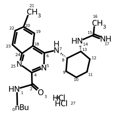 CCCCNC(=O)c1nc(N[C@H]2CCCC[C@H]2NC(C)=N)c2cc(C)ccc2n1.Cl.Cl